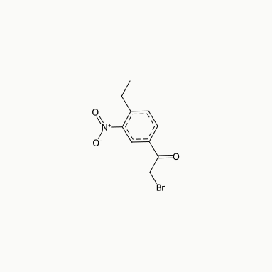 CCc1ccc(C(=O)CBr)cc1[N+](=O)[O-]